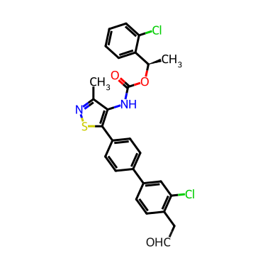 Cc1nsc(-c2ccc(-c3ccc(CC=O)c(Cl)c3)cc2)c1NC(=O)O[C@H](C)c1ccccc1Cl